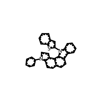 c1ccc(-n2ccc3c4c(ccc5c6ccccc6n(-c6cc7ccccc7s6)c54)ccc32)cc1